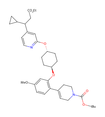 CCOC(=O)CC(c1ccnc(O[C@H]2CC[C@H](Oc3cc(OC)ccc3C3=CCN(C(=O)OC(C)(C)C)CC3)CC2)c1)C1CC1